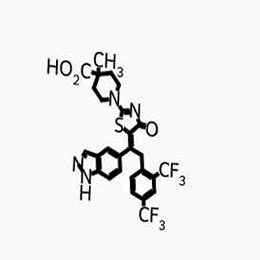 CC1(C(=O)O)CCN(C2=NC(=O)C(=C(Cc3ccc(C(F)(F)F)cc3C(F)(F)F)c3ccc4[nH]ncc4c3)S2)CC1